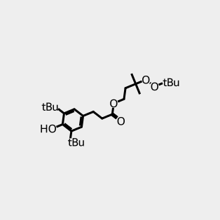 CC(C)(C)OOC(C)(C)CCOC(=O)CCc1cc(C(C)(C)C)c(O)c(C(C)(C)C)c1